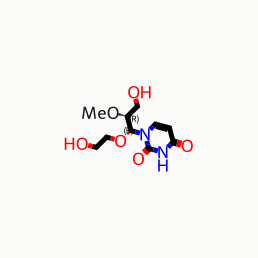 CO[C@H](CO)[C@@H](OCCO)n1ccc(=O)[nH]c1=O